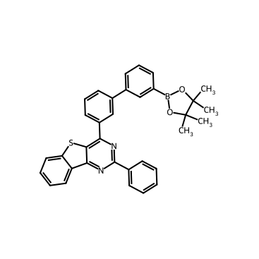 CC1(C)OB(c2cccc(-c3cccc(-c4nc(-c5ccccc5)nc5c4sc4ccccc45)c3)c2)OC1(C)C